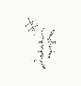 CC(O[Si](C)(C)C(C)(C)C)C1Oc2cc([N+](=O)[O-])ccc2NC1=O